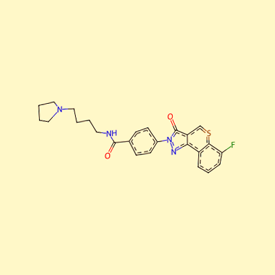 O=C(NCCCCN1CCCC1)c1ccc(-n2nc3c4cccc(F)c4scc-3c2=O)cc1